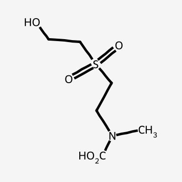 CN(CCS(=O)(=O)CCO)C(=O)O